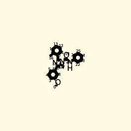 COc1cccc(-c2nc(-c3ccccc3C)n(C(=O)Nc3ccccc3)n2)c1